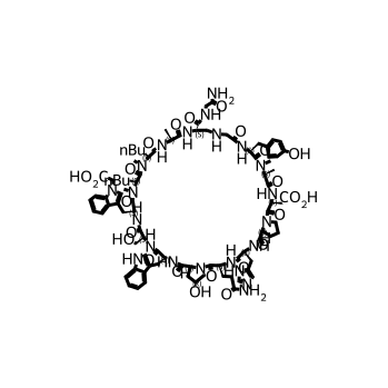 CCCC[C@H]1C(=O)N(C)[C@@H](CCCC)C(=O)N[C@@H](C)C(=O)N[C@H](C(=O)NCC(N)=O)CNCC(=O)N[C@@H](Cc2ccc(O)cc2)C(=O)N(C)[C@@H](C)C(=O)N[C@@H](CC(=O)O)C(=O)N2CCC[C@H]2C(=O)N[C@@H](Cc2cnc[nH]2)C(=O)N[C@@H](CCC(N)=O)C(=O)N2C[C@H](O)C[C@H]2C(=O)N[C@@H](Cc2c[nH]c3ccccc23)C(=O)N[C@@H](CO)C(=O)N[C@@H](Cc2cn(CC(=O)O)c3ccccc23)C(=O)N1C